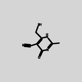 Cc1nc(=O)c(C#N)c(CS)[nH]1